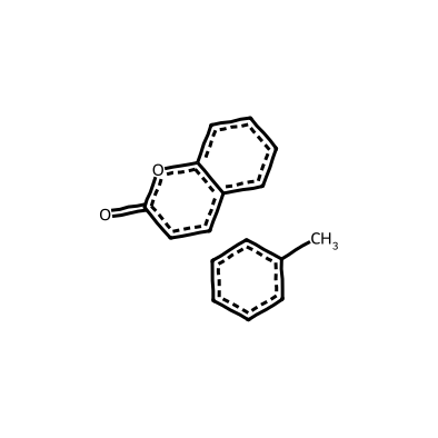 Cc1ccccc1.O=c1ccc2ccccc2o1